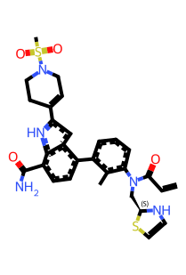 C=CC(=O)N(C[C@H]1NC=CS1)c1cccc(-c2ccc(C(N)=O)c3[nH]c(C4=CCN(S(C)(=O)=O)CC4)cc23)c1C